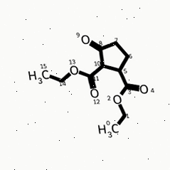 CCOC(=O)C1CCC(=O)C1C(=O)OCC